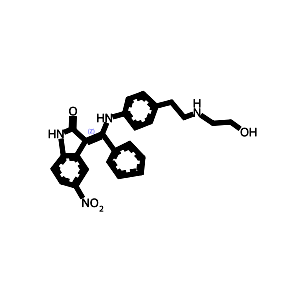 O=C1Nc2ccc([N+](=O)[O-])cc2/C1=C(/Nc1ccc(CCNCCO)cc1)c1ccccc1